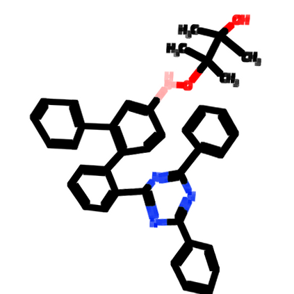 CC(C)(O)C(C)(C)OBc1ccc(-c2ccccc2-c2nc(-c3ccccc3)nc(-c3ccccc3)n2)c(-c2ccccc2)c1